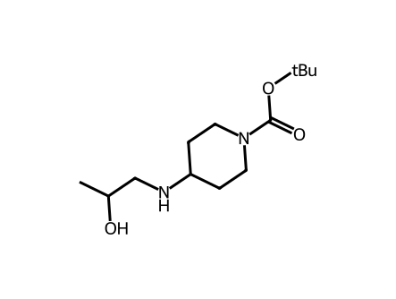 CC(O)CNC1CCN(C(=O)OC(C)(C)C)CC1